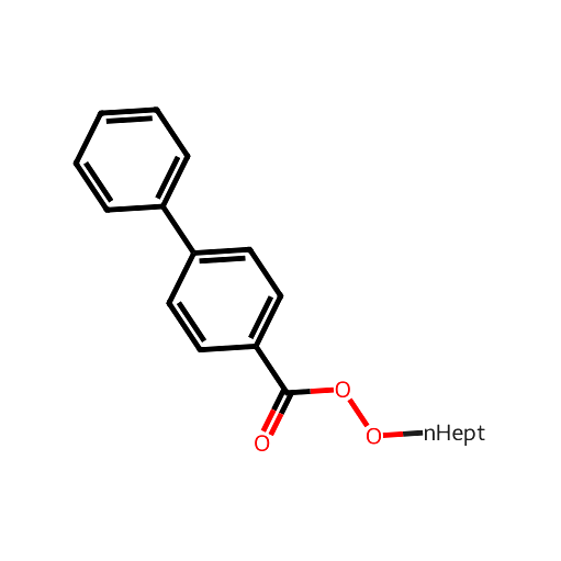 [CH2]CCCCCCOOC(=O)c1ccc(-c2ccccc2)cc1